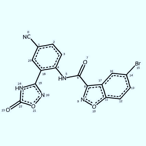 N#Cc1ccc(NC(=O)c2noc3ccc(Br)cc23)c(-c2noc(=O)[nH]2)c1